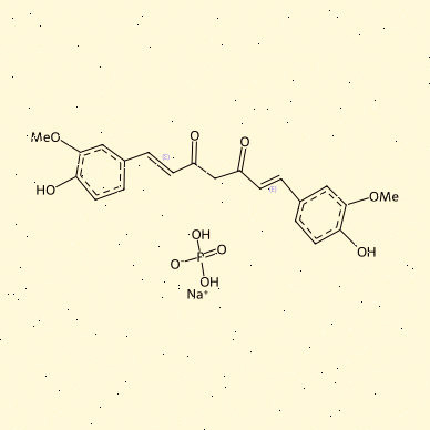 COc1cc(/C=C/C(=O)CC(=O)/C=C/c2ccc(O)c(OC)c2)ccc1O.O=P([O-])(O)O.[Na+]